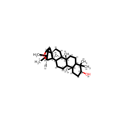 CC1(C)CC2=C3O[C@@H]1C1C4CCC5[C@@]6(C)CC[C@H](O)C(C)(C)C6CC[C@@]5(C)[C@]4(C)CC[C@]231